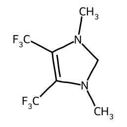 CN1CN(C)C(C(F)(F)F)=C1C(F)(F)F